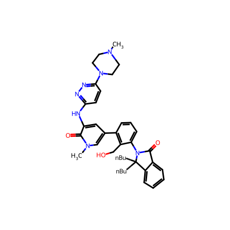 CCCCC1(CCCC)c2ccccc2C(=O)N1c1cccc(-c2cc(Nc3ccc(N4CCN(C)CC4)nn3)c(=O)n(C)c2)c1CO